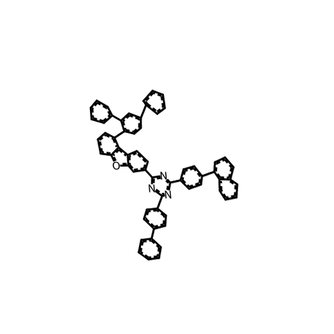 c1ccc(-c2ccc(-c3nc(-c4ccc(-c5cccc6ccccc56)cc4)nc(-c4ccc5c(c4)oc4cccc(-c6ccc(-c7ccccc7)cc6-c6ccccc6)c45)n3)cc2)cc1